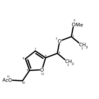 COC(C)OC(C)c1ccc(COC(C)=O)o1